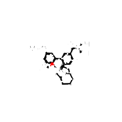 C=CCN1CCC2CCCC(C1)N2Cc1ccc(C(=O)N(C)C)cc1-c1cccc(OC)c1